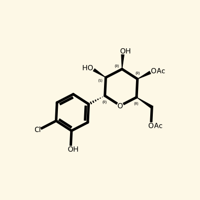 CC(=O)OC[C@H]1O[C@H](c2ccc(Cl)c(O)c2)[C@@H](O)[C@@H](O)[C@H]1OC(C)=O